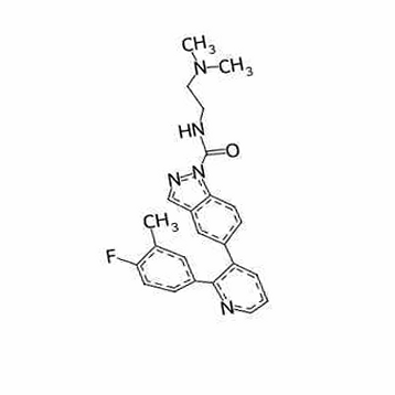 Cc1cc(-c2ncccc2-c2ccc3c(cnn3C(=O)NCCN(C)C)c2)ccc1F